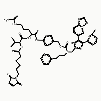 Cc1cccc(-c2nc(CN(CCCc3ccccc3)C(=O)OCc3ccc(NC(=O)C(CCCNC(N)=O)NC(=O)C(NC(=O)CCCCCN4C(=O)C=CC4=O)C(C)C)cc3)[nH]c2-c2ccc3ncnn3c2)n1